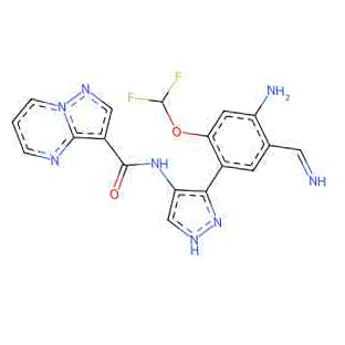 N=Cc1cc(-c2n[nH]cc2NC(=O)c2cnn3cccnc23)c(OC(F)F)cc1N